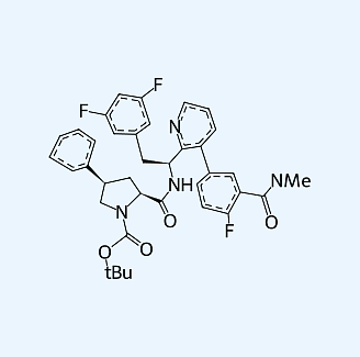 CNC(=O)c1cc(-c2cccnc2[C@H](Cc2cc(F)cc(F)c2)NC(=O)[C@@H]2C[C@H](c3ccccc3)CN2C(=O)OC(C)(C)C)ccc1F